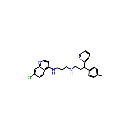 Cc1ccc(C(CCNCCCNc2ccnc3cc(Cl)ccc23)c2ccccn2)cc1